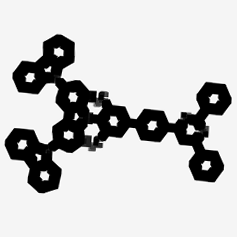 Cc1cc(-c2ccc(-c3cc(-c4ccccc4)nc(-c4ccccc4)n3)cc2)cc(C)c1-n1c2ccc(-n3c4ccccc4c4ccccc43)cc2c2cc(-n3c4ccccc4c4ccccc43)ccc21